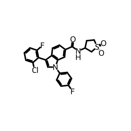 O=C(NC1CCS(=O)(=O)C1)c1ccc2c(-c3c(F)cccc3Cl)cn(-c3ccc(F)cc3)c2c1